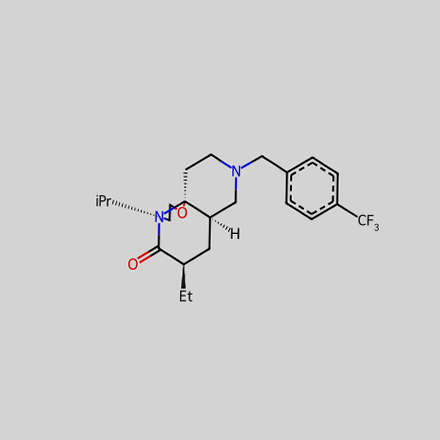 CC[C@@H]1C[C@@H]2CN(Cc3ccc(C(F)(F)F)cc3)CC[C@@]23OC[C@H](C(C)C)N3C1=O